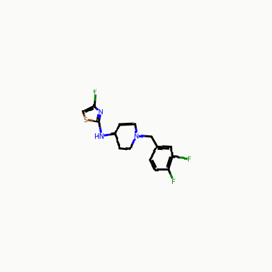 Fc1csc(NC2CCN(Cc3ccc(F)c(F)c3)CC2)n1